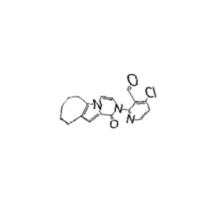 O=Cc1c(Cl)ccnc1-n1ccn2c3c(cc2c1=O)CCCCC3